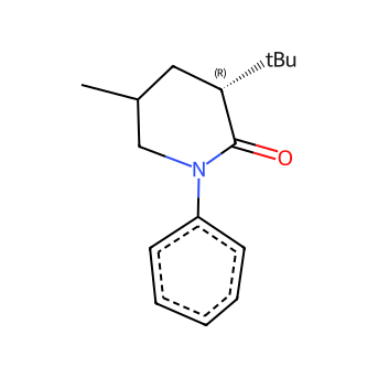 CC1C[C@H](C(C)(C)C)C(=O)N(c2ccccc2)C1